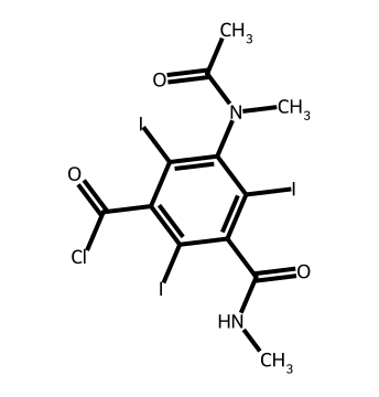 CNC(=O)c1c(I)c(C(=O)Cl)c(I)c(N(C)C(C)=O)c1I